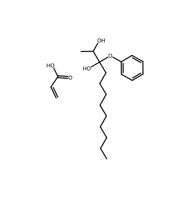 C=CC(=O)O.CCCCCCCCCC(O)(Oc1ccccc1)C(C)O